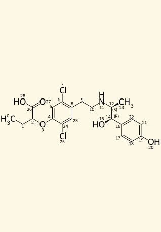 CCC(Oc1cc(Cl)c(CCN[C@@H](C)[C@H](O)c2ccc(O)cc2)cc1Cl)C(=O)O